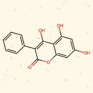 O=c1oc2cc(O)cc(O)c2c(O)c1-c1ccccc1